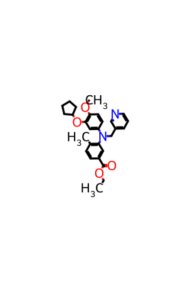 CCOC(=O)c1ccc(C)c(N(Cc2cccnc2)c2ccc(OC)c(OC3CCCC3)c2)c1